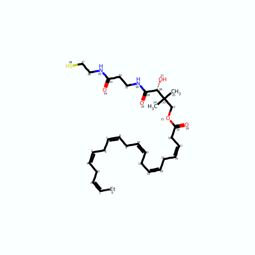 CC/C=C\C/C=C\C/C=C\C/C=C\C/C=C\C/C=C\CC(=O)OCC(C)(C)[C@@H](O)C(=O)NCCC(=O)NCCS